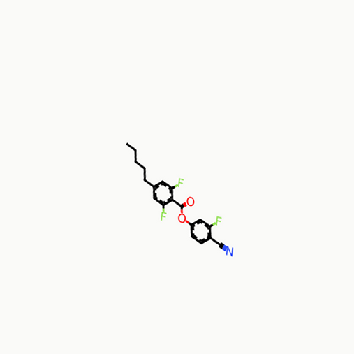 CCCCCc1cc(F)c(C(=O)Oc2ccc(C#N)c(F)c2)c(F)c1